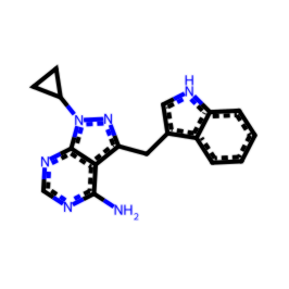 Nc1ncnc2c1c(Cc1c[nH]c3ccccc13)nn2C1CC1